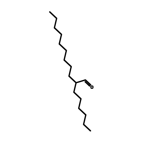 CCCCCCCCCC(C=O)CCCCCC